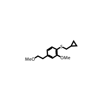 COCCc1ccc(SCC2CC2)c(OC)c1